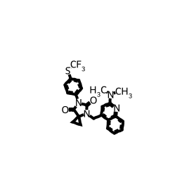 CN(C)c1cc(CN2C(=O)N(c3ccc(SC(F)(F)F)cc3)C(=O)C23CC3)c2ccccc2n1